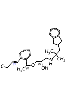 C[C@@H](OC[C@@H](O)CNC(C)(C)CC1Cc2ccccc2C1)c1ccccc1/C=C/CC(=O)O